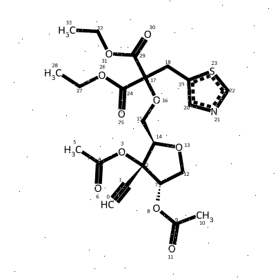 C#C[C@]1(OC(C)=O)[C@@H](OC(C)=O)CO[C@@H]1COC(Cc1cncs1)(C(=O)OCC)C(=O)OCC